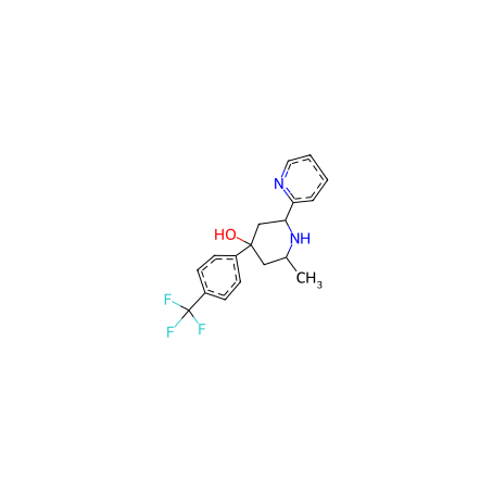 CC1CC(O)(c2ccc(C(F)(F)F)cc2)CC(c2ccccn2)N1